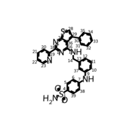 NS(=O)(=O)c1ccc(Nc2cccc(CNc3nc(-c4ccccn4)nc4scc(-c5ccccc5)c34)c2)cc1